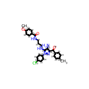 COc1ccc(C(=O)NCCCNc2c(N)c(C(=O)c3ccc(C)cc3)nn2-c2ccc(Cl)cc2)cc1